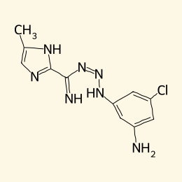 Cc1cnc(C(=N)/N=N\Nc2cc(N)cc(Cl)c2)[nH]1